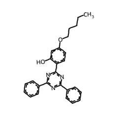 CCCCCOc1ccc(-c2nc(-c3ccccc3)nc(-c3ccccc3)n2)c(O)c1